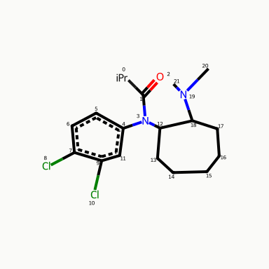 CC(C)C(=O)N(c1ccc(Cl)c(Cl)c1)C1CCCCCC1N(C)C